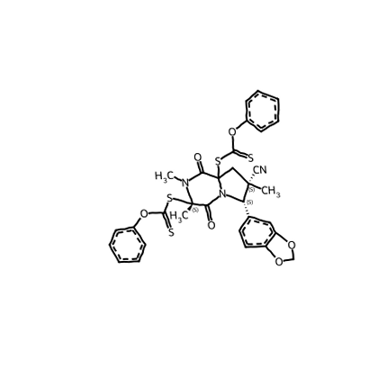 CN1C(=O)C2(SC(=S)Oc3ccccc3)C[C@](C)(C#N)[C@H](c3ccc4c(c3)OCO4)N2C(=O)[C@]1(C)SC(=S)Oc1ccccc1